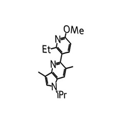 CCc1nc(OC)ccc1-c1nc2c(C)cn(C(C)C)c2cc1C